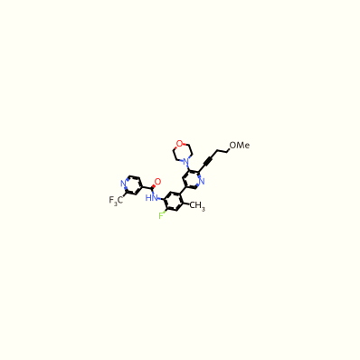 COCCC#Cc1ncc(-c2cc(NC(=O)c3ccnc(C(F)(F)F)c3)c(F)cc2C)cc1N1CCOCC1